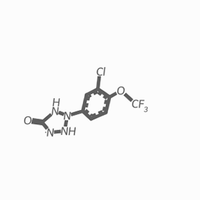 O=C1[N]NN(c2ccc(OC(F)(F)F)c(Cl)c2)N1